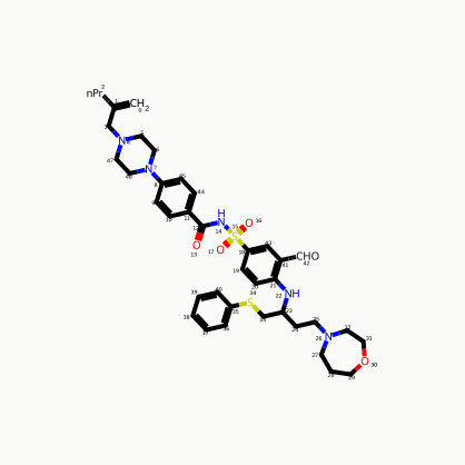 C=C(CCC)CN1CCN(c2ccc(C(=O)NS(=O)(=O)c3ccc(NC(CCN4CCCOCC4)CSc4ccccc4)c(C=O)c3)cc2)CC1